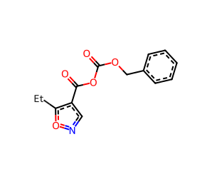 CCc1oncc1C(=O)OC(=O)OCc1ccccc1